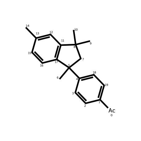 CC(=O)c1ccc(C2(C)CC(C)(C)c3cc(C)ccc32)cc1